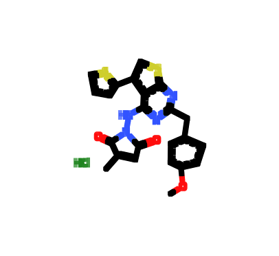 COc1ccc(Cc2nc(NN3C(=O)C=C(C)C3=O)c3c(-c4cccs4)csc3n2)cc1.Cl